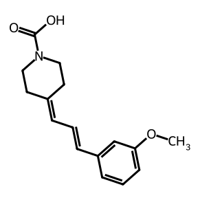 COc1cccc(/C=C/C=C2CCN(C(=O)O)CC2)c1